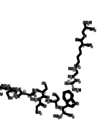 CC(C)C[C@H](N)C(=O)O.CC(C)C[C@H](N)C(=O)OC(=O)CN.CC[C@H](C)[C@H](N)C(=O)O.CC[C@H](C)[C@H](N)C(=O)O.NCC(=O)O.NCC(=O)O.NCCCC[C@H](N)C(=O)OC[C@H](N)C(=O)O.N[C@@H](CS)C(=O)O.N[C@@H](CS)C(=O)O.N[C@@H](Cc1c[nH]c2ccccc12)C(=O)O